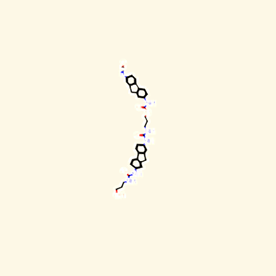 O=C=Nc1ccc2c(c1)Cc1cc(NC(=O)OCCCNC(=O)Nc3ccc4c(c3)Cc3cc(NC(=O)NCCCO)ccc3-4)ccc1-2